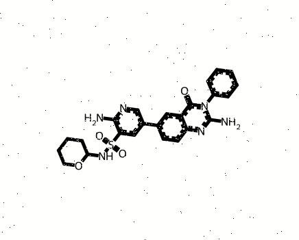 Nc1ncc(-c2ccc3nc(N)n(-c4ccccc4)c(=O)c3c2)cc1S(=O)(=O)NC1CCCCO1